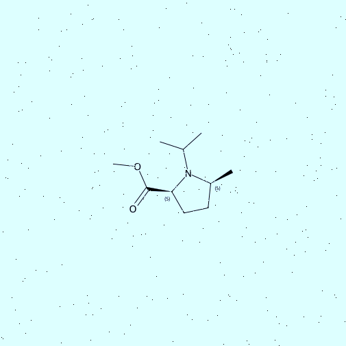 COC(=O)[C@@H]1CC[C@H](C)N1C(C)C